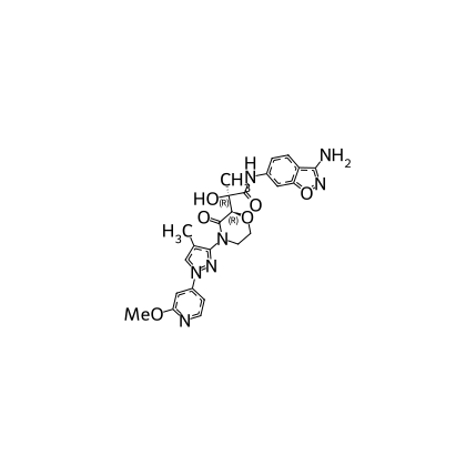 COc1cc(-n2cc(C)c(N3CCO[C@H]([C@@](C)(O)C(=O)Nc4ccc5c(N)noc5c4)C3=O)n2)ccn1